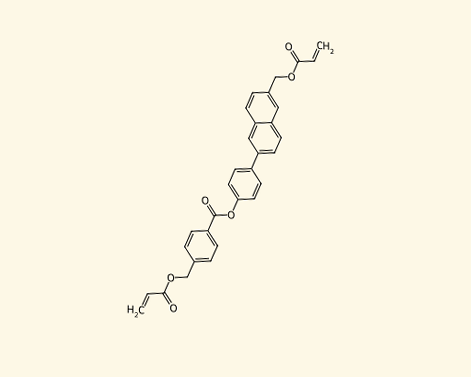 C=CC(=O)OCc1ccc(C(=O)Oc2ccc(-c3ccc4cc(COC(=O)C=C)ccc4c3)cc2)cc1